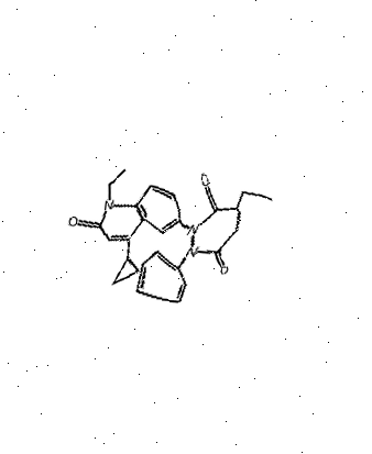 CCC1CC(=O)N(c2ccccc2)N(c2ccc3c(c2)c(C2CC2)cc(=O)n3CC)C1=O